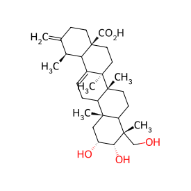 C=C1CC[C@]2(C(=O)O)CC[C@]3(C)C(=CCC4[C@@]5(C)C[C@@H](O)[C@@H](O)[C@@](C)(CO)C5CC[C@]43C)C2[C@H]1C